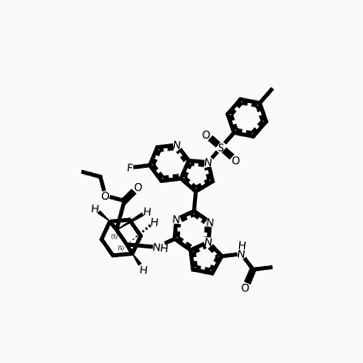 CCOC(=O)[C@H]1[C@H]2CC[C@H](CC2)[C@@H]1Nc1nc(-c2cn(S(=O)(=O)c3ccc(C)cc3)c3ncc(F)cc23)nn2c(NC(C)=O)ccc12